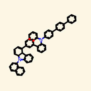 C1=CC2C(C(c3cccc(-c4ccccc4N(c4ccccc4)c4ccc(-c5ccc(-c6ccccc6)cc5)cc4)c3)=C1)c1ccccc1N2c1cccc2ccccc12